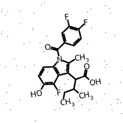 CCC(C)C(C(=O)O)c1c(C)n(C(=O)c2ccc(F)c(F)c2)c2ccc(O)c(F)c12